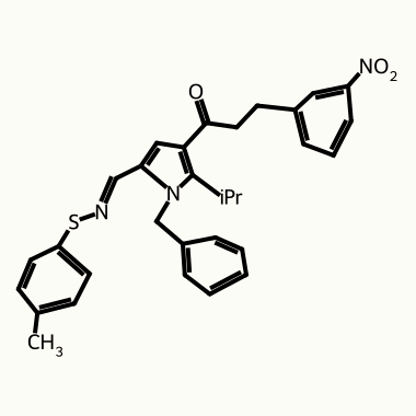 Cc1ccc(S/N=C/c2cc(C(=O)CCc3cccc([N+](=O)[O-])c3)c(C(C)C)n2Cc2ccccc2)cc1